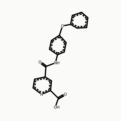 O=C(Nc1ccc(Oc2ccccc2)cc1)c1ccnc(C(=O)O)c1